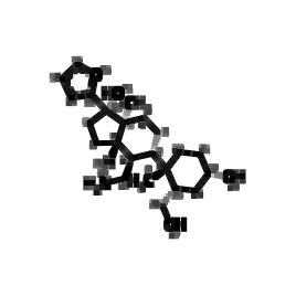 C[C@@]1([C@H]2CC[C@@]3(C)[C@@H](CC[C@@]3(O)c3ccco3)[C@@H]2CN)CC[C@H](O)C[C@@H]1CO